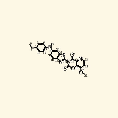 CCc1ccc(N(C)c2ccc3nc(-n4c(=S)oc5c(OC)ccnc5c4=O)sc3c2)cc1